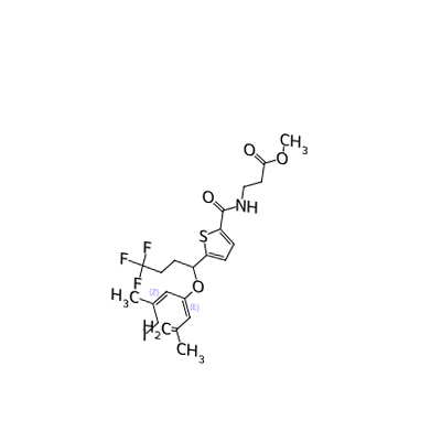 C=C(C)/C=C(\C=C(\C)CI)OC(CCC(F)(F)F)c1ccc(C(=O)NCCC(=O)OC)s1